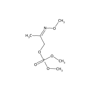 CON=C(C)COP(=O)(OC)OC